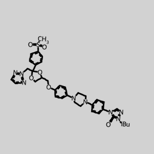 CCC(C)n1ncn(-c2ccc(N3CCN(c4ccc(OCC5COC(Cn6nccn6)(c6ccc(S(C)(=O)=O)cc6)O5)cc4)CC3)cc2)c1=O